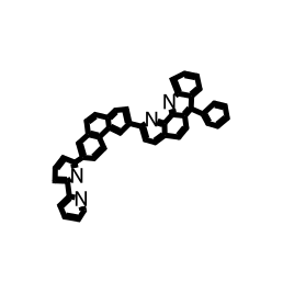 c1ccc(-c2c3ccccc3nc3c2ccc2ccc(-c4ccc5ccc6cc(-c7cccc(-c8ccccn8)n7)ccc6c5c4)nc23)cc1